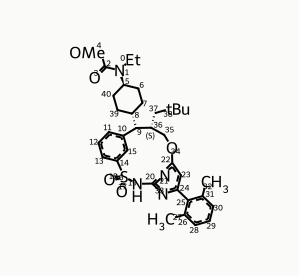 CCN(C(=O)OC)[C@H]1CC[C@H](C2c3cccc(c3)S(=O)(=O)Nc3nc(cc(-c4c(C)cccc4C)n3)OC[C@H]2CC(C)(C)C)CC1